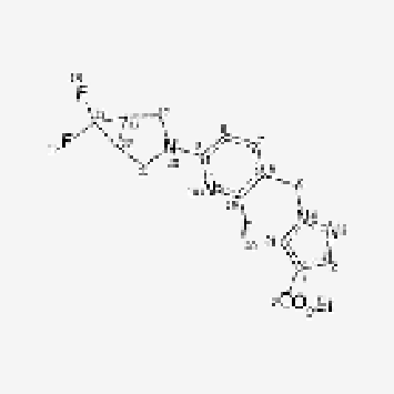 CCOC(=O)c1cnn(Cc2ccc(N3CC4C(C3)C4(F)F)nc2F)c1